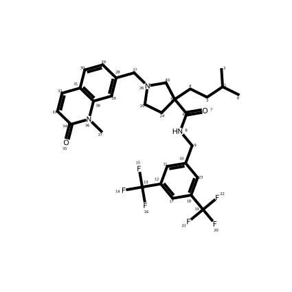 CC(C)CCC1(C(=O)NCc2cc(C(F)(F)F)cc(C(F)(F)F)c2)CCN(Cc2ccc3ccc(=O)n(C)c3c2)C1